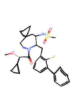 CO[C@H](C(=O)N1CC2(CC2)C(NS(C)(=O)=O)C1Cc1cccc(-c2ccccc2)c1F)C1CC1